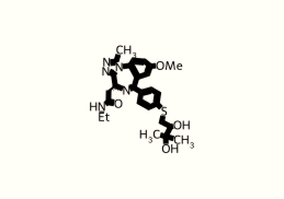 CCNC(=O)C[C@@H]1N=C(c2ccc(SCC(O)C(C)(C)O)cc2)c2cc(OC)ccc2-n2c(C)nnc21